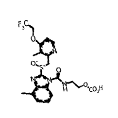 Cc1c(OCC(F)(F)F)ccnc1C[S+]([O-])c1nc2c(C)cccc2n1C(=O)NCCOC(=O)O